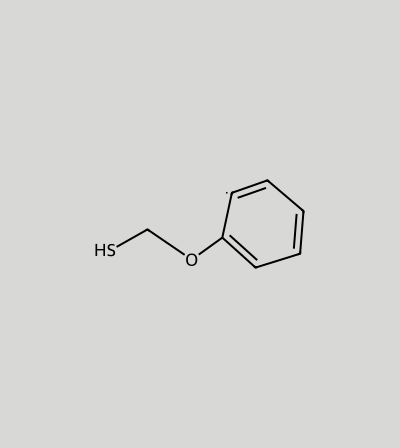 SCOc1[c]cccc1